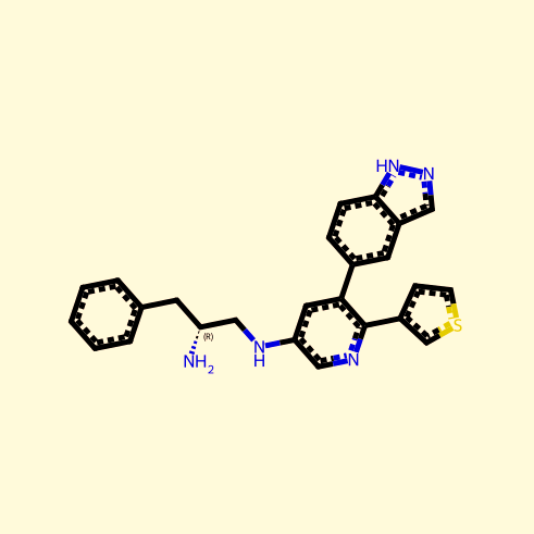 N[C@@H](CNc1cnc(-c2ccsc2)c(-c2ccc3[nH]ncc3c2)c1)Cc1ccccc1